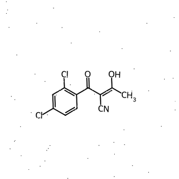 C/C(O)=C(\C#N)C(=O)c1ccc(Cl)cc1Cl